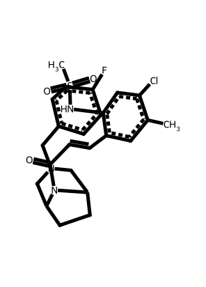 Cc1cc(/C=C/C(=O)N2C3CCC2CN(Cc2ccc(F)cc2)C3)c(NS(C)(=O)=O)cc1Cl